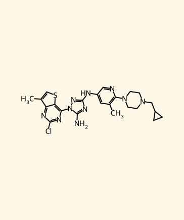 Cc1cc(Nc2nc(N)n(-c3nc(Cl)nc4c(C)csc34)n2)cnc1N1CCN(CC2CC2)CC1